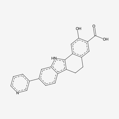 O=C(O)c1cc2c(cc1O)-c1[nH]c3cc(-c4cccnc4)ccc3c1CC2